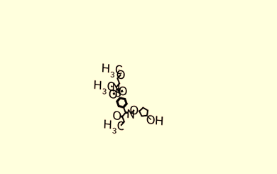 CCC(=O)/C(=N/O[C@@H]1CC[C@@H](O)C1)c1ccc(S(=O)(=O)N(C)CCOC)cc1